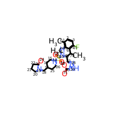 Cc1ccc(F)c(C(C)[C@H](NS(=O)(=O)N2CCC(CN3CCCC3=O)CC2)c2n[nH]c(=O)o2)c1C